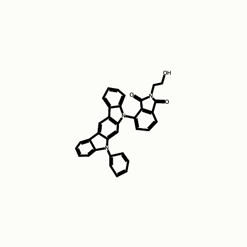 O=C1c2cccc(-n3c4ccccc4c4cc5c6ccccc6n(-c6ccccc6)c5cc43)c2C(=O)N1CCO